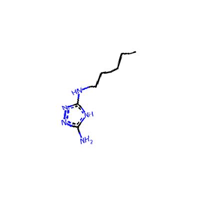 CCCCCNc1nnc(N)[nH]1